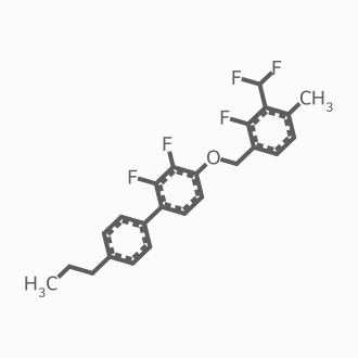 CCCc1ccc(-c2ccc(OCc3ccc(C)c(C(F)F)c3F)c(F)c2F)cc1